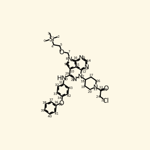 C[Si](C)(C)CCOCn1cc2c3c(ncnc31)N(C1CCN(C(=O)CCl)CC1)N=C2Nc1ccc(Oc2ccccc2)cc1